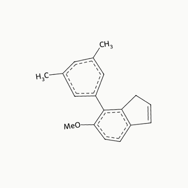 COc1ccc2c(c1-c1cc(C)cc(C)c1)CC=C2